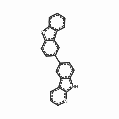 c1ccc2c(c1)sc1ccc(-c3ccc4[nH]c5ncccc5c4c3)cc12